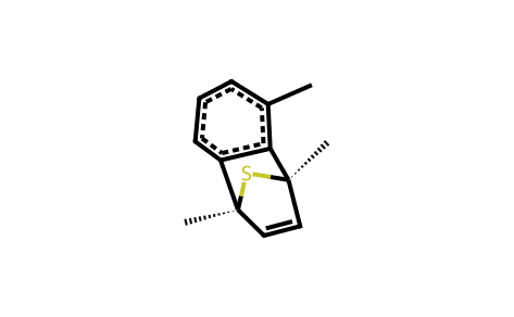 Cc1cccc2c1[C@@]1(C)C=C[C@]2(C)S1